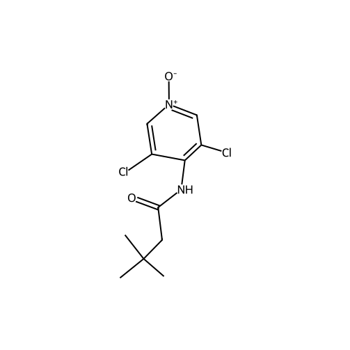 CC(C)(C)CC(=O)Nc1c(Cl)c[n+]([O-])cc1Cl